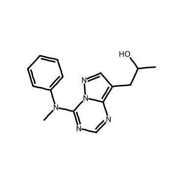 CC(O)Cc1cnn2c(N(C)c3ccccc3)ncnc12